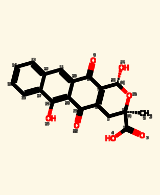 C[C@]1(C(=O)O)CC2=C(C(=O)c3cc4ccccc4c(O)c3C2=O)[C@H](O)O1